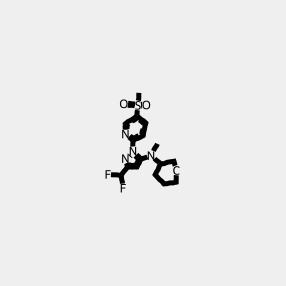 CN(c1cc(C(F)F)nn1-c1ccc(S(C)(=O)=O)cn1)C1CCCCC1